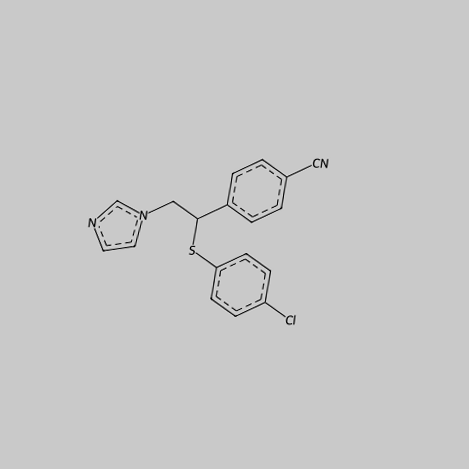 N#Cc1ccc(C(Cn2ccnc2)Sc2ccc(Cl)cc2)cc1